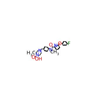 C[C@H]1CN(Cc2ccc(N(C)C(=O)c3cccc(Oc4ccc(F)cc4)n3)cc2)CCN1C(=O)O